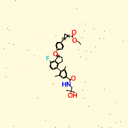 CCOC(=O)[C@H]1C[C@@H]1c1ccc(O[C@@H]2CCc3c(-c4c(C)cc(C(=O)NCC(C)(C)O)cc4C)ccc(F)c32)cc1